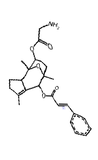 CC1=C2C(OC(=O)/C=C/c3ccccc3)C3(C)CC(OC(=O)CN)C(C)(O3)C2CC1